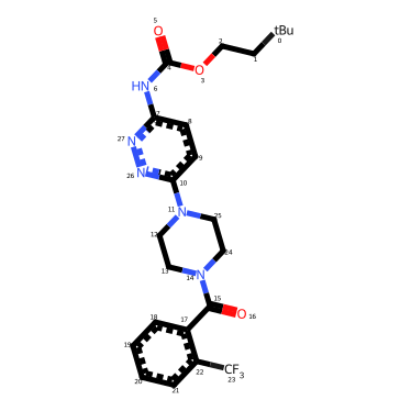 CC(C)(C)CCOC(=O)Nc1ccc(N2CCN(C(=O)c3ccccc3C(F)(F)F)CC2)nn1